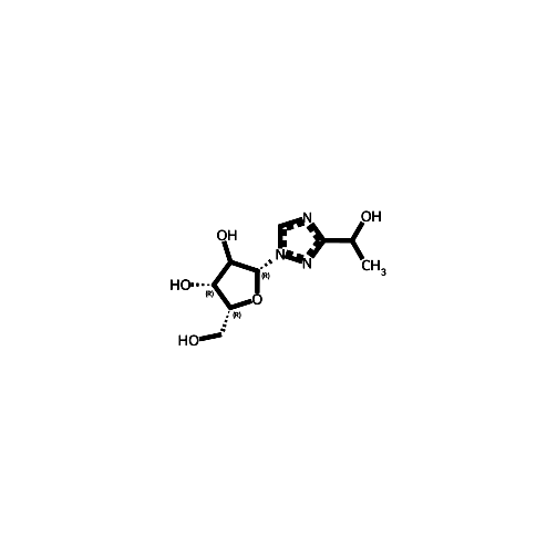 CC(O)c1ncn([C@@H]2O[C@H](CO)[C@H](O)C2O)n1